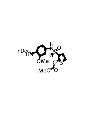 CCCCCCCCCCNc1ccc(NS(=O)(=O)c2ccsc2OC(=O)OC)cc1OC